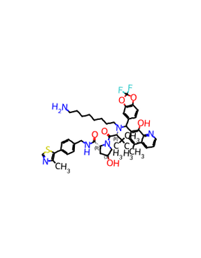 Cc1ncsc1-c1ccc(CNC(=O)[C@H]2C[C@H](O)CN2C(=O)[C@H](N(CCCCCCCCN)C(c2ccc3c(c2)OC(F)(F)O3)c2cc(C)c3cccnc3c2O)C(C)(C)C)cc1